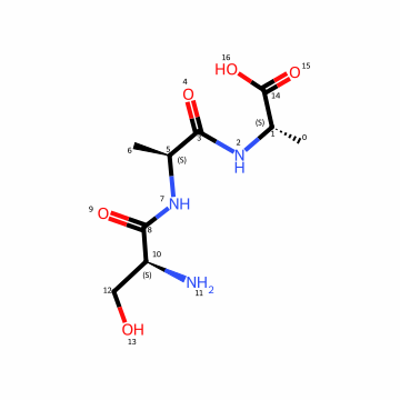 C[C@H](NC(=O)[C@H](C)NC(=O)[C@@H](N)CO)C(=O)O